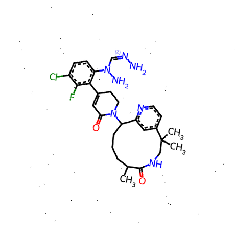 CC1CCCC(N2CCC(c3c(N(N)/C=N\N)ccc(Cl)c3F)=CC2=O)c2cc(ccn2)C(C)(C)CNC1=O